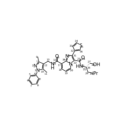 Cc1nn(-c2ccccc2)c(C)c1CNC(=O)c1cccn2c(C(=O)N[C@H](CO)CC(C)C)c(-c3ccsc3)nc12